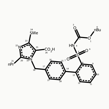 CCCCOC(=O)NS(=O)(=O)c1ccccc1-c1ccc(Cn2c(CCC)nc(SC)c2C(=O)O)cc1